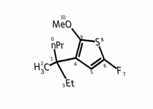 CCCC(C)(CC)c1cc(F)sc1OC